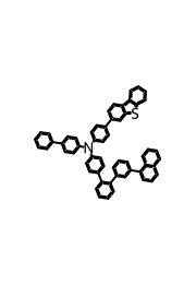 c1ccc(-c2ccc(N(c3ccc(-c4ccc5c(c4)sc4ccccc45)cc3)c3ccc(-c4ccccc4-c4cccc(-c5cccc6ccccc56)c4)cc3)cc2)cc1